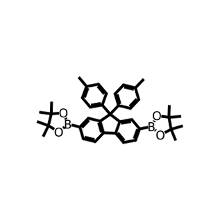 Cc1ccc(C2(c3ccc(C)cc3)c3cc(B4OC(C)(C)C(C)(C)O4)ccc3-c3ccc(B4OC(C)(C)C(C)(C)O4)cc32)cc1